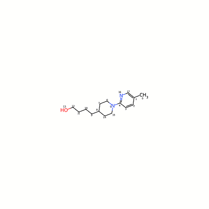 Cc1ccc(N2CCC(CCCCO)CC2)nc1